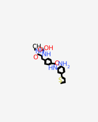 CCNC(=O)C(Cc1ccc(C(=O)Nc2cc(-c3cccs3)ccc2N)cc1)NC(=O)O